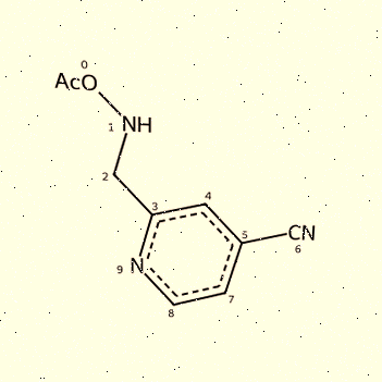 CC(=O)ONCc1cc(C#N)ccn1